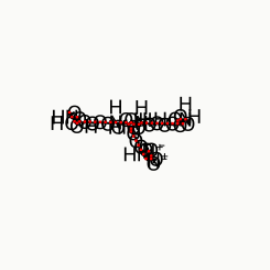 CC(=O)N[C@@H]1CO[C@H](COCCOCCOCCOCCNC(=O)CCC(O)C(NC(=O)COCCOCCOCCNc2ccc([N+](=O)[O-])cc2[N+](=O)[O-])C(O)CCC(=O)NCCOCCOCCOCCOC[C@H]2OC[C@@H](NC(C)=O)[C@@H](O)[C@H]2O)[C@H](O)[C@@H]1O